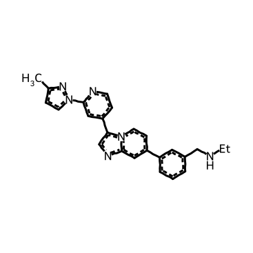 CCNCc1cccc(-c2ccn3c(-c4ccnc(-n5ccc(C)n5)c4)cnc3c2)c1